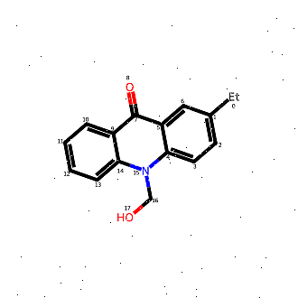 CCc1ccc2c(c1)c(=O)c1ccccc1n2CO